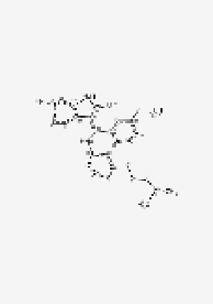 CN(C)CCCc1cccc(NC(=C2C(=O)Nc3cc(F)ccc32)c2cccc(CC(=O)O)c2)c1